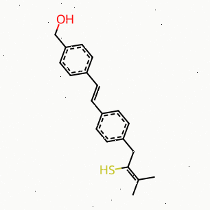 CC(C)=C(S)Cc1ccc(C=Cc2ccc(CO)cc2)cc1